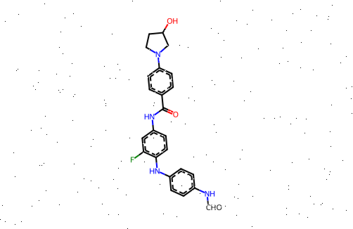 O=CNc1ccc(Nc2ccc(NC(=O)c3ccc(N4CCC(O)C4)cc3)cc2F)cc1